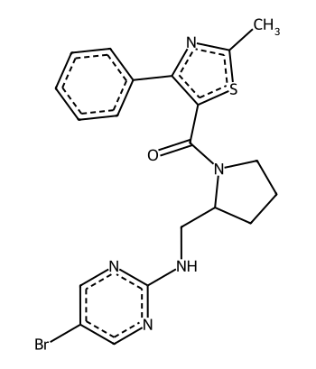 Cc1nc(-c2ccccc2)c(C(=O)N2CCCC2CNc2ncc(Br)cn2)s1